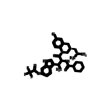 CC(c1c[nH]c2ccccc12)C(NC(=O)C1CCCCC1)C(=O)N1C[C@@H](CN(C)C)Cc2cc(Cl)ccc21.O=C(O)C(F)(F)F